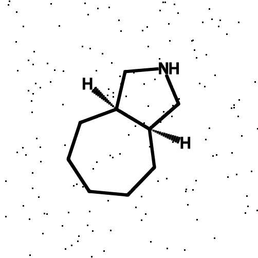 C1CC[C@@H]2CNC[C@@H]2CC1